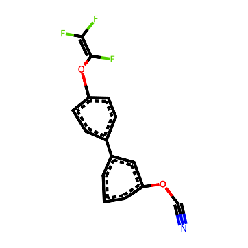 N#COc1cccc(-c2ccc(OC(F)=C(F)F)cc2)c1